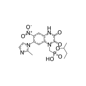 CCC(C)OP(=O)(O)Cn1c(=O)c(=O)[nH]c2cc([N+](=O)[O-])c(-n3ccnc3C)cc21